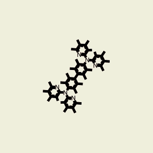 Cc1nc(N(c2nc(C)c(C)c(C)c2C)c2c(C)c(C)c(-c3c(C)c(C)c(N(c4nc(C)c(C)c(C)c4C)c4nc(C)c(C)c(C)c4C)c(C)c3C)c(C)c2C)c(C)c(C)c1C